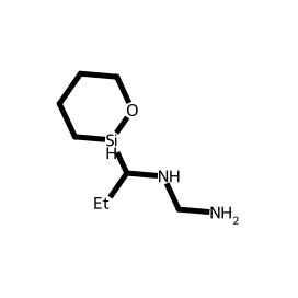 CCC(NCN)[SiH]1CCCCO1